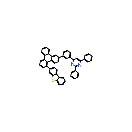 c1ccc(-c2cc(-c3cccc(-c4ccc5c(c4)c4ccccc4c4cccc(-c6ccc7c(c6)sc6ccccc67)c45)c3)nc(-c3ccccc3)n2)cc1